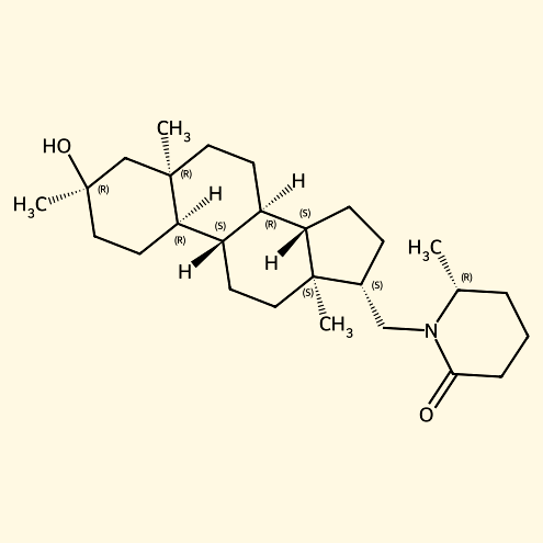 C[C@@H]1CCCC(=O)N1C[C@H]1CC[C@H]2[C@@H]3CC[C@]4(C)C[C@](C)(O)CC[C@@H]4[C@H]3CC[C@]12C